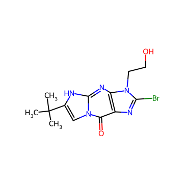 CC(C)(C)c1cn2c(=O)c3nc(Br)n(CCO)c3nc2[nH]1